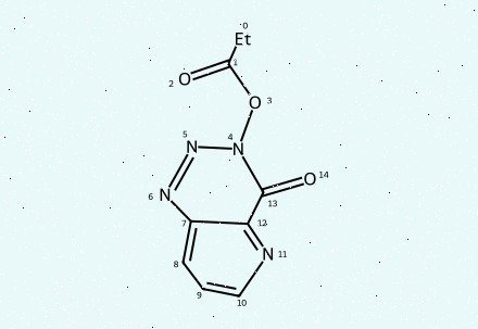 CCC(=O)On1nnc2cccnc2c1=O